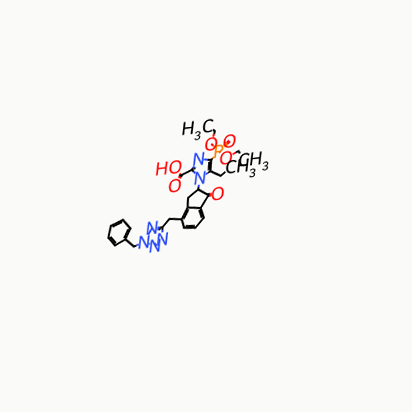 CCOP(=O)(OCC)c1nc(C(=O)O)n(C2Cc3c(Cc4nnn(Cc5ccccc5)n4)cccc3C2=O)c1CC